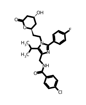 CC(C)c1c(CNC(=O)c2ccc(Cl)cc2)nc(-c2ccc(F)cc2)n1CC[C@@H]1C[C@@H](O)CC(=O)O1